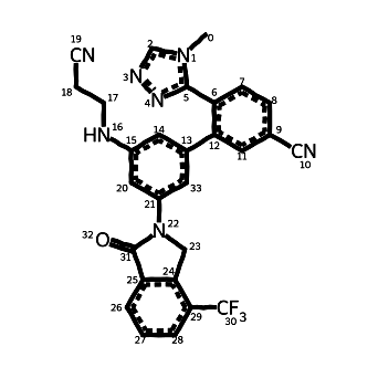 Cn1cnnc1-c1ccc(C#N)cc1-c1cc(NCCC#N)cc(N2Cc3c(cccc3C(F)(F)F)C2=O)c1